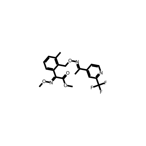 CO/N=C(/C(=O)OC)c1cccc(C)c1CO/N=C(\C)c1ccnc(C(F)(F)F)c1